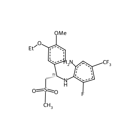 CCOc1cc([C@@H](CS(C)(=O)=O)Nc2c(N)cc(C(F)(F)F)cc2F)ccc1OC